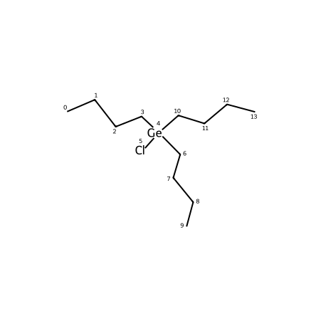 CCC[CH2][Ge]([Cl])([CH2]CCC)[CH2]CCC